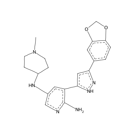 CN1CCC(Nc2cnc(N)c(-c3cc(-c4ccc5c(c4)OCO5)n[nH]3)c2)CC1